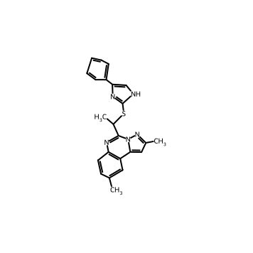 Cc1ccc2nc(C(C)Sc3nc(-c4ccccc4)c[nH]3)n3nc(C)cc3c2c1